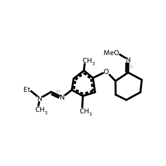 CCN(C)/C=N/c1cc(C)c(OC2CCCC/C2=N/OC)cc1C